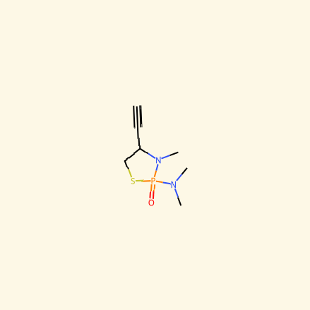 C#CC1CSP(=O)(N(C)C)N1C